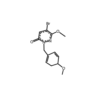 COc1nn(CC2=CCC(OC)C=C2)c(=O)cc1Br